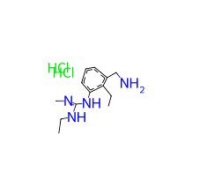 CCNC(=NC)Nc1cccc(CN)c1CC.Cl.Cl